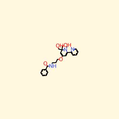 CN1C(c2ccccn2)=CC(OCCCNC(=O)c2ccccc2)=CC1(CO)CO